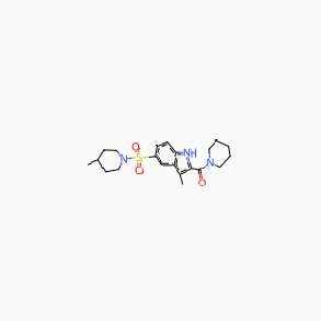 Cc1c(C(=O)N2CCCCC2)[nH]c2ccc(S(=O)(=O)N3CCC(C)CC3)cc12